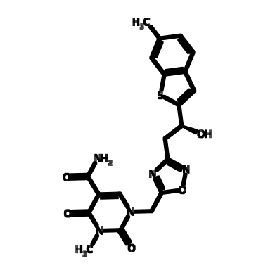 Cc1ccc2cc([C@@H](O)Cc3noc(Cn4cc(C(N)=O)c(=O)n(C)c4=O)n3)sc2c1